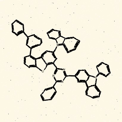 c1ccc(-c2cccc(-c3cccc4oc5c(-c6nc(-c7ccccc7)nc(-c7ccc8c(c7)c7ccccc7n8-c7ccccc7)n6)cc(-n6c7ccccc7c7ccccc76)cc5c34)c2)cc1